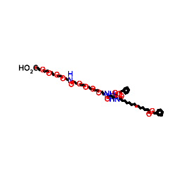 O=C(O)CCOCCOCCOCCOCCNC(=O)CCOCCOCCOCCOCCNC(=O)CCC(NC(=O)CCCCCCCCCCCCC(=O)OCc1ccccc1)C(=O)OCc1ccccc1